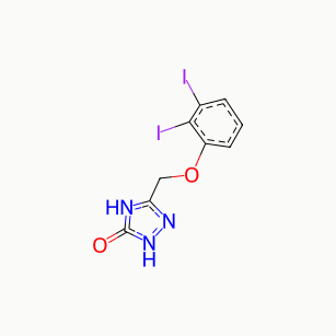 O=c1[nH]nc(COc2cccc(I)c2I)[nH]1